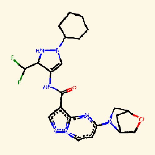 O=C(NC1=CN(C2CCCCC2)NC1C(F)F)c1cnn2ccc(N3CC4CC3CO4)nc12